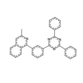 Cc1cc2ccccc2c(-c2cccc(-c3nc(-c4ccccc4)nc(-c4ccccc4)n3)c2)n1